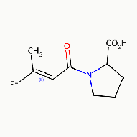 CC/C(C)=C/C(=O)N1CCCC1C(=O)O